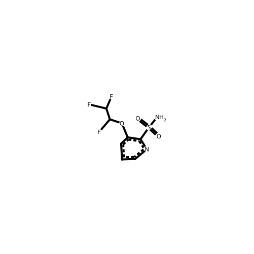 NS(=O)(=O)c1ncccc1OC(F)C(F)F